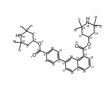 CC1(C)CC(OC(=O)c2ccc(-c3ccc4cccc(C(=O)OC5CC(C)(C)NC(C)(C)C5)c4c3)cc2)CC(C)(C)N1